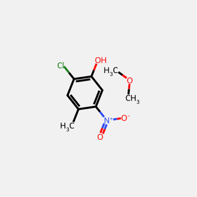 COC.Cc1cc(Cl)c(O)cc1[N+](=O)[O-]